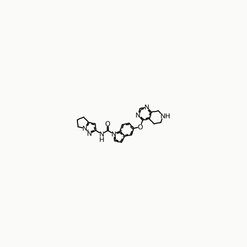 O=C(Nc1cc2n(n1)CCC2)n1ccc2cc(Oc3ncnc4c3CCNC4)ccc21